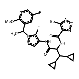 CCc1nonc1C(=O)NC(C(=O)Nc1cnn(C(C)c2cc(F)cnc2OC)c1F)C(C1CC1)C1CC1